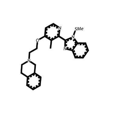 CSn1c(-c2nccc(OCCN3CCc4ccccc4C3)c2C)nc2ccccc21